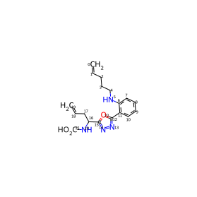 C=CCCCNc1ccccc1-c1nnc(C(CC=C)NC(=O)O)o1